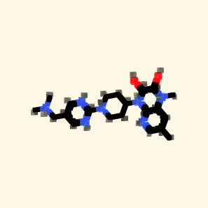 Cc1cnc2c(c1)n(C)c(=O)c(=O)n2C1CCN(c2ncc(CN(C)C)cn2)CC1